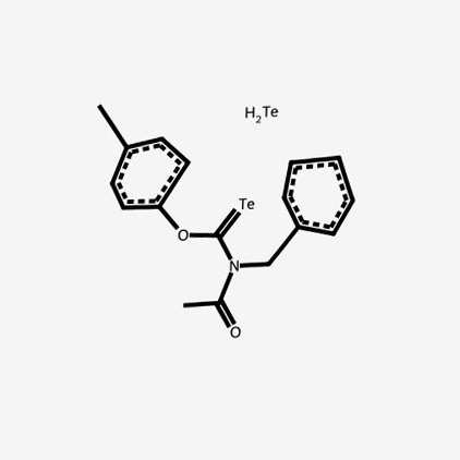 CC(=O)N(Cc1ccccc1)C(=[Te])Oc1ccc(C)cc1.[TeH2]